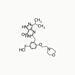 CC(C)c1n[nH]c2c(=O)[nH]c(Cc3cc(F)ccc3OCCN3CCOCC3)nc12.Cl